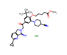 Br.COC(=O)CCCCOc1c(N2CCC(C#N)CC2)cc(C(=O)CN2Cc3ccc(C4CC4)nc3C2=N)cc1C(C)(C)C